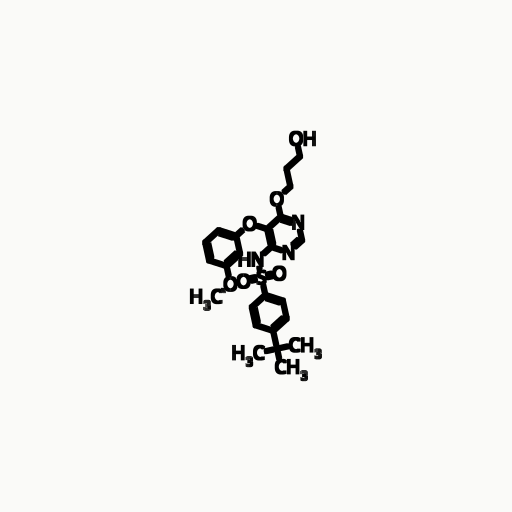 COc1cccc(Oc2c(NS(=O)(=O)c3ccc(C(C)(C)C)cc3)ncnc2OCCCO)c1